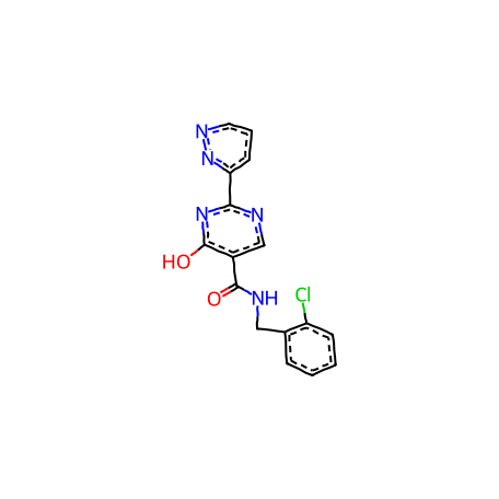 O=C(NCc1ccccc1Cl)c1cnc(-c2cccnn2)nc1O